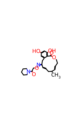 CC1/C=C/CCOC(=O)c2c(O)cc(O)cc2CC(=N/OCC(=O)N2CCCCC2)/C=C/C1